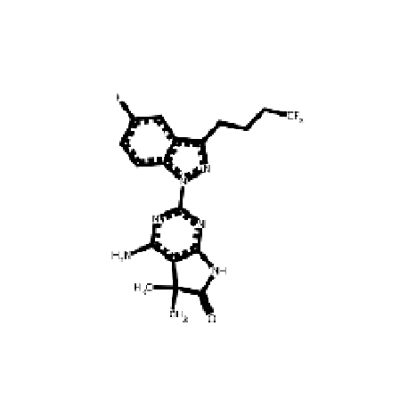 CC1(C)C(=O)Nc2nc(-n3nc(CCCC(F)(F)F)c4cc(F)ccc43)nc(N)c21